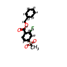 CS(=O)(=O)c1ccc(C(=O)OCc2ccccc2)c(F)c1